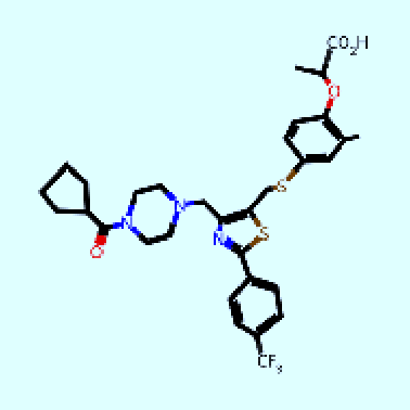 Cc1cc(SCc2sc(-c3ccc(C(F)(F)F)cc3)nc2CN2CCN(C(=O)C3CCCC3)CC2)ccc1OC(C)C(=O)O